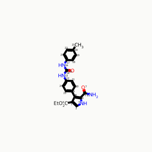 CCOC(=O)c1c[nH]c(C(N)=O)c1-c1ccc(NC(=O)Nc2ccc(C)cc2)cc1